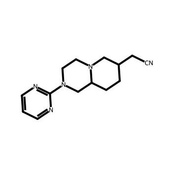 N#CCC1CCC2CN(c3ncccn3)CCN2C1